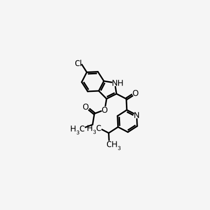 CCC(=O)Oc1c(C(=O)c2cc(C(C)C)ccn2)[nH]c2cc(Cl)ccc12